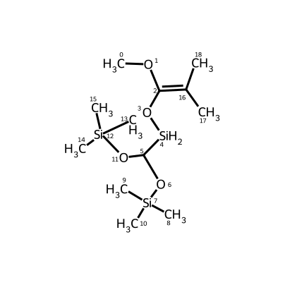 COC(O[SiH2]C(O[Si](C)(C)C)O[Si](C)(C)C)=C(C)C